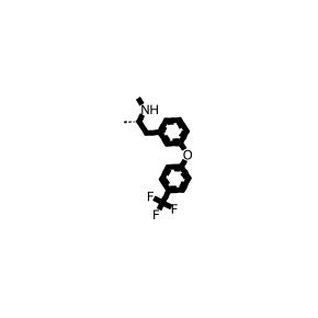 CN[C@@H](C)Cc1cccc(Oc2ccc(C(F)(F)F)cc2)c1